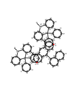 CN1c2ccccc2C(c2ccccc2)(c2ccccc2)c2c(-c3cccc4c(-c5cccc6ccccc56)c5cccc(-c6cccc7c6C(c6ccccc6)(c6ccccc6)c6ccccc6N7C)c5cc34)cccc21